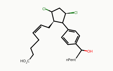 CCCCCC(O)c1ccc(C2[C@@H](C/C=C\CCCC(=O)O)C(Cl)C[C@H]2Cl)cc1